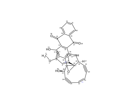 COC(=O)/C=C(\C)[C@@]12OC13c1cc(O)c4c(c1N[C@H]2C#C/C=C\C#C[C@H]3O)C(=O)c1ccccc1C4=O